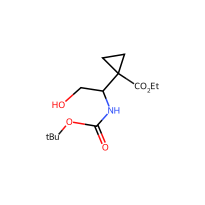 CCOC(=O)C1(C(CO)NC(=O)OC(C)(C)C)CC1